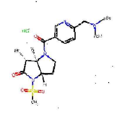 CCCCN(CCCC)Cc1ccc(C(=O)N2CC[C@H]3[C@H]2[C@@H](C(C)C)C(=O)N3S(C)(=O)=O)cn1.Cl